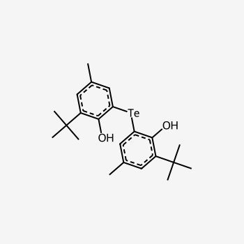 Cc1cc([Te]c2cc(C)cc(C(C)(C)C)c2O)c(O)c(C(C)(C)C)c1